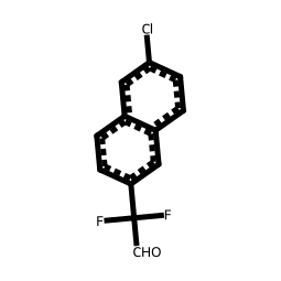 O=CC(F)(F)c1ccc2cc(Cl)ccc2c1